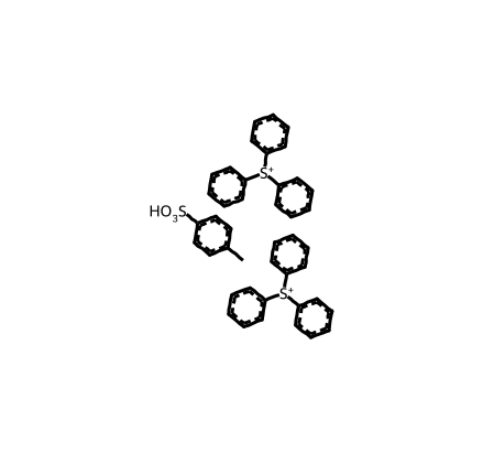 Cc1ccc(S(=O)(=O)O)cc1.c1ccc([S+](c2ccccc2)c2ccccc2)cc1.c1ccc([S+](c2ccccc2)c2ccccc2)cc1